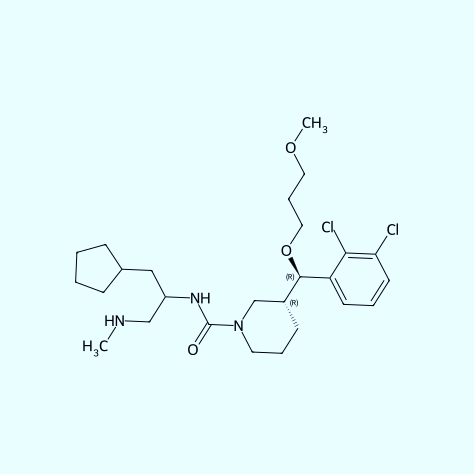 CNCC(CC1CCCC1)NC(=O)N1CCC[C@@H]([C@@H](OCCCOC)c2cccc(Cl)c2Cl)C1